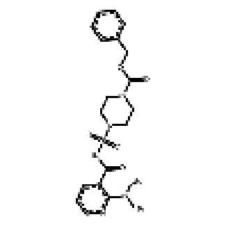 CCCN(c1ncccc1C(=O)NS(=O)(=O)N1CCN(C(=O)OCc2ccccc2)CC1)C(C)(C)C